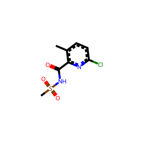 Cc1ccc(Cl)nc1C(=O)NS(C)(=O)=O